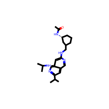 CC(=O)N[C@@H]1CCCC(CNc2cc3c(NC(C)C)nc(C(C)C)cc3cn2)C1